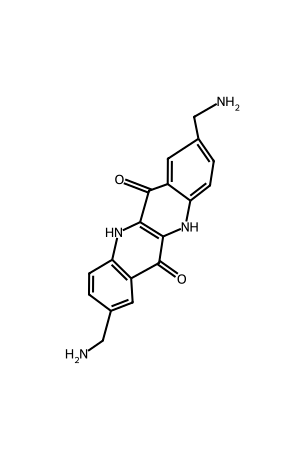 NCc1ccc2[nH]c3c(=O)c4cc(CN)ccc4[nH]c3c(=O)c2c1